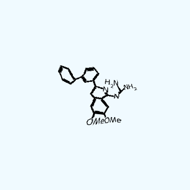 COc1cc2cc(-c3cccc(-c4ccccc4)c3)nc(N=C(N)N)c2cc1OC